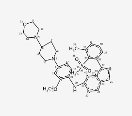 COc1cc(N2CCC(N3CCOCC3)CC2)ccc1Nc1ncc2ccc(-c3cccc(C)c3S(C)(=O)=O)n2n1